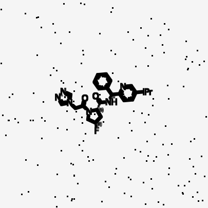 CC(C)c1ccc([C@@H](NC(=O)[C@@H]2C[C@@H](F)CN2C(=O)Cn2cnnc2)c2ccccc2)nc1